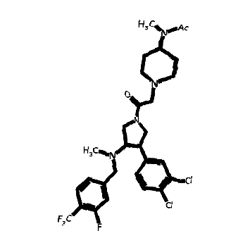 CC(=O)N(C)C1CCN(CC(=O)N2CC(c3ccc(Cl)c(Cl)c3)C(N(C)Cc3ccc(C(F)(F)F)c(F)c3)C2)CC1